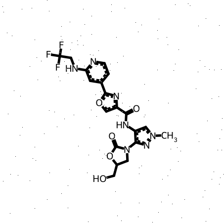 Cn1cc(NC(=O)c2coc(-c3ccnc(NCC(F)(F)F)c3)n2)c(N2CC(CO)OC2=O)n1